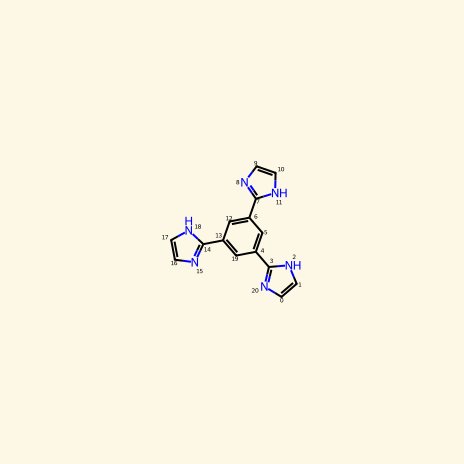 c1c[nH]c(-c2cc(-c3ncc[nH]3)cc(-c3ncc[nH]3)c2)n1